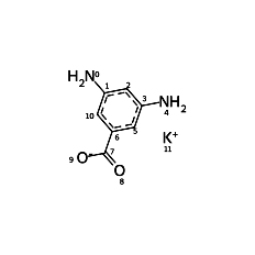 Nc1cc(N)cc(C(=O)[O-])c1.[K+]